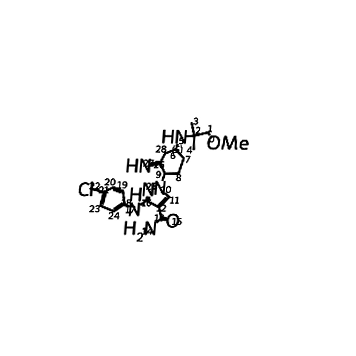 COCC(C)(C)N[C@H]1CCC(n2cc(C(N)=O)c(Nc3ccc(Cl)cc3)n2)C(=N)C1